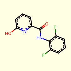 O=C(Nc1c(F)cccc1F)c1cccc(O)n1